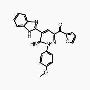 COc1ccc(-n2nc(C(=O)c3ccco3)cc(-c3nc4ccccc4[nH]3)c2=N)cc1